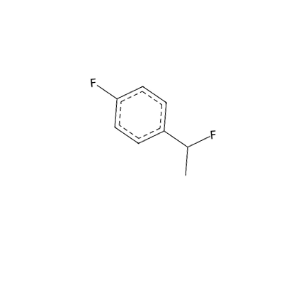 CC(F)c1ccc(F)cc1